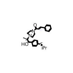 CC(C)Sc1ccc([C@@H](O)[C@@H](C)N2CCN(C(=O)/C=C/c3ccccc3)CC2)cc1